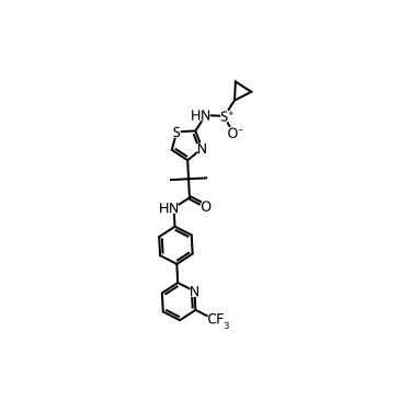 CC(C)(C(=O)Nc1ccc(-c2cccc(C(F)(F)F)n2)cc1)c1csc(N[S+]([O-])C2CC2)n1